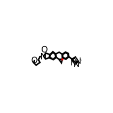 Cn1cc(-c2ccc(Cc3cc4c(cc3C3CC3)CN(CC3CCCO3)C4=O)cc2)nn1